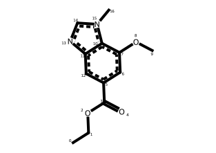 CCOC(=O)c1cc(OC)c2c(c1)ncn2C